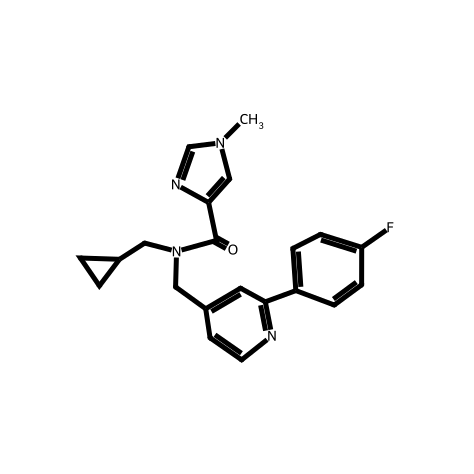 Cn1cnc(C(=O)N(Cc2ccnc(-c3ccc(F)cc3)c2)CC2CC2)c1